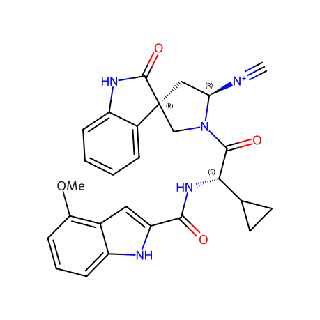 C#[N+][C@@H]1C[C@@]2(CN1C(=O)[C@@H](NC(=O)c1cc3c(OC)cccc3[nH]1)C1CC1)C(=O)Nc1ccccc12